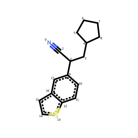 N#CC(CC1CCCC1)c1ccc2sccc2c1